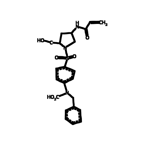 C=CC(=O)NC1CC(CO)N(S(=O)(=O)c2ccc(N(Cc3ccccc3)C(=O)O)cc2)C1